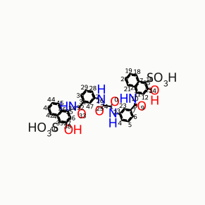 O=C(Nc1cccc(C(=O)Nc2cc(O)c(S(=O)(=O)O)c3ccccc23)c1)C(=O)Nc1cccc(C(=O)Nc2cc(O)c(S(=O)(=O)O)c3ccccc23)c1